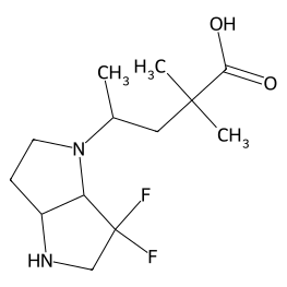 CC(CC(C)(C)C(=O)O)N1CCC2NCC(F)(F)C21